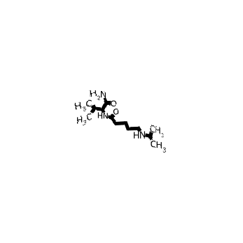 CC(C)NCCCCC(=O)NC(C(N)=O)C(C)C